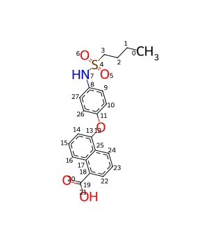 CCCCS(=O)(=O)Nc1ccc(Oc2cccc3c(C(=O)O)cccc23)cc1